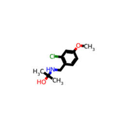 COc1ccc(CNC(C)(C)O)c(Cl)c1